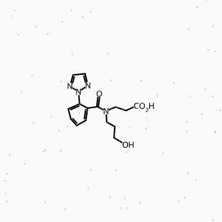 O=C(O)CCN(CCCO)C(=O)c1ccccc1-n1nccn1